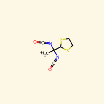 [CH2]C(N=C=O)(N=C=O)C1SCCS1